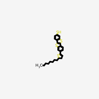 CCCCCCCCC1CC=C(c2ccc3c(c2)sc2c4ccc(S)cc4sc32)S1